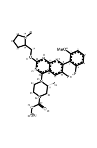 COc1cccc(F)c1-c1nc2nc(OCC3CCCN3C)nc(N3CCN(C(=O)OC(C)(C)C)C[C@H]3C)c2cc1F